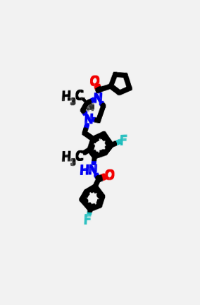 Cc1c(CN2CCN(C(=O)C3CCCC3)[C@@H](C)C2)cc(F)cc1NC(=O)c1ccc(F)cc1